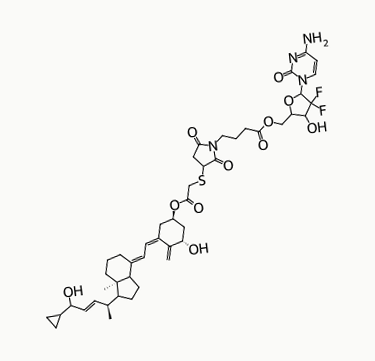 C=C1/C(=C\C=C2/CCC[C@@]3(C)C2CCC3[C@@H](C)/C=C/C(O)C2CC2)C[C@@H](OC(=O)CSC2CC(=O)N(CCCC(=O)OCC3OC(n4ccc(N)nc4=O)C(F)(F)C3O)C2=O)C[C@@H]1O